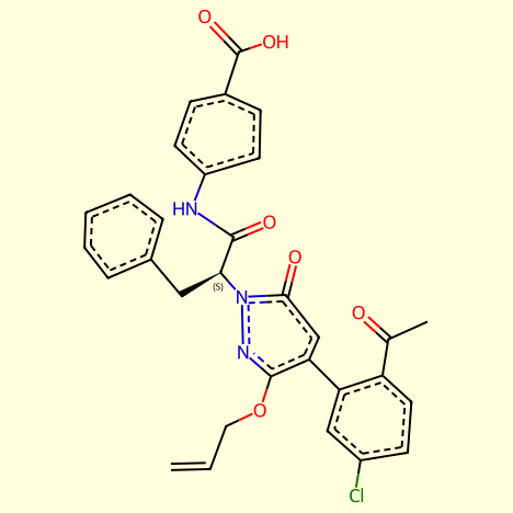 C=CCOc1nn([C@@H](Cc2ccccc2)C(=O)Nc2ccc(C(=O)O)cc2)c(=O)cc1-c1cc(Cl)ccc1C(C)=O